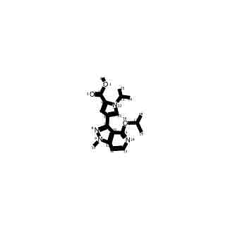 COC(=O)c1cc(-c2nn(C)c3ccnc(OC(C)C)c23)cn1C(C)C